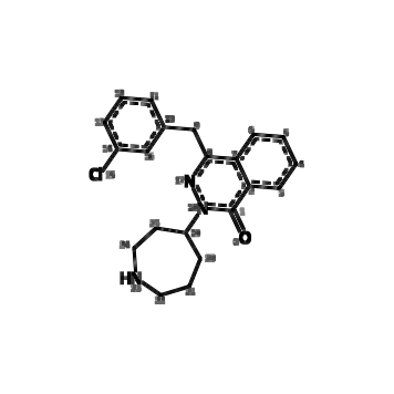 O=c1c2ccccc2c(Cc2cccc(Cl)c2)nn1C1CCCNCC1